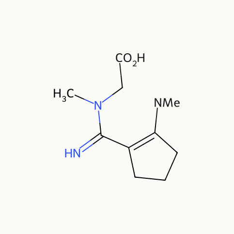 CNC1=C(C(=N)N(C)CC(=O)O)CCC1